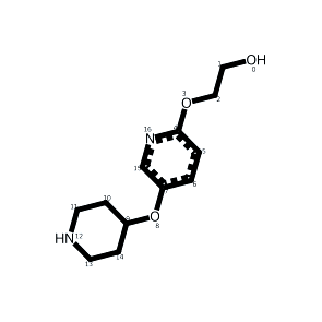 OCCOc1ccc(OC2CCNCC2)cn1